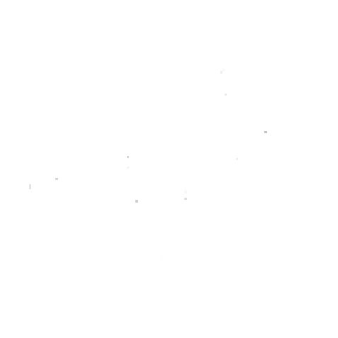 CC1CCC(c2cccc(Cl)c2)N(C(=O)C(=O)Nc2cnc(NC(=O)OC(C)(C)C)c(C3CC3)c2)C1